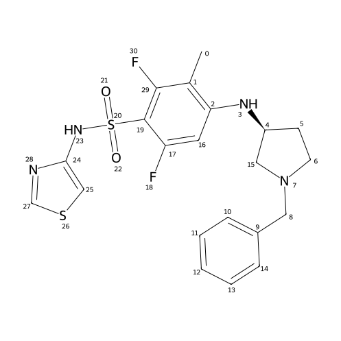 Cc1c(N[C@H]2CCN(Cc3ccccc3)C2)cc(F)c(S(=O)(=O)Nc2cscn2)c1F